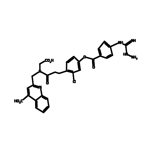 N=C(NN)Nc1ccc(C(=O)Oc2ccc(CCC(=O)N(CC(=O)O)Cc3cc(C(=O)O)c4ccccc4n3)c(Cl)c2)cc1